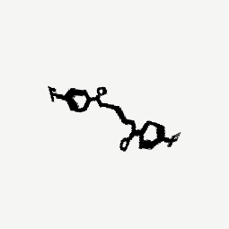 O=C(CCCCC(=O)c1ccc(F)cc1)c1ccc(F)cc1